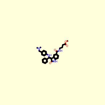 COC(=O)CCCNC(=O)c1ccc2c(c1)C(=C(Nc1ccc(CN(C)C)cc1)c1ccccc1)C(=O)N2